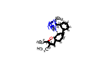 CCCCC(=O)C(Cc1ccc(-c2ccccc2-c2nnnn2C(C)(C)C)cc1)C(=O)O